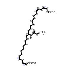 CCCCC/C=C\C/C=C\CCCCCCCCC(CCCCCCCC/C=C\C/C=C\CCCCC)NC(=O)CC(=O)O